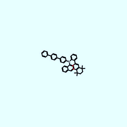 CC1(C)CCC(C)(C)c2cc(-c3ccccc3N(c3ccc(-c4ccc(-c5ccccc5)cc4)cc3)c3cccc4ccccc34)ccc21